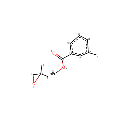 CC1(C)CO1.CCCOC(=O)c1cccc(C)c1